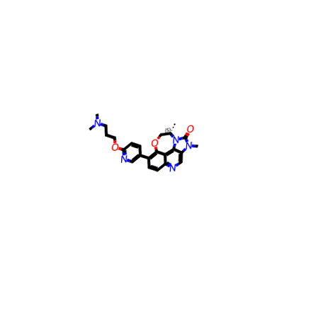 C[C@H]1COc2c(-c3ccc(OCCCN(C)C)nc3)ccc3ncc4c(c23)n1c(=O)n4C